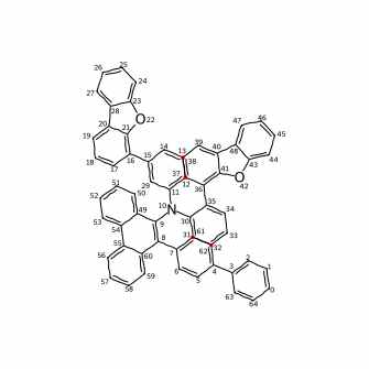 c1ccc(-c2ccc(-c3c(N(c4cccc(-c5cccc6c5oc5ccccc56)c4)c4ccccc4-c4cccc5c4oc4ccccc45)c4ccccc4c4ccccc34)cc2)cc1